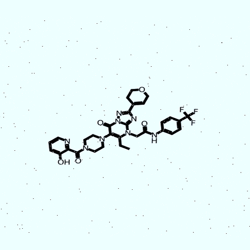 CCc1c(N2CCN(C(=O)c3ncccc3O)CC2)c(=O)n2nc(C3=CCOCC3)nc2n1CC(=O)Nc1ccc(C(F)(F)F)cc1